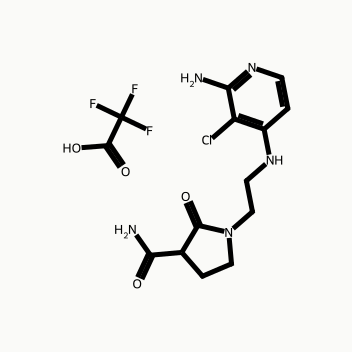 NC(=O)C1CCN(CCNc2ccnc(N)c2Cl)C1=O.O=C(O)C(F)(F)F